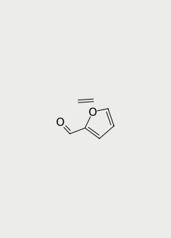 C=C.O=Cc1ccco1